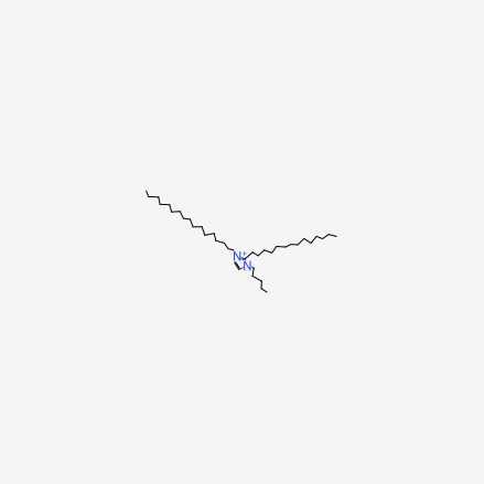 CCCCCCCCCCCCCCCCC[n+]1ccn(CCCCC)c1CCCCCCCCCCCCCC